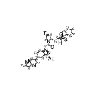 CC(=O)c1nn(CC(=O)N2C[C@H](F)C[C@H]2CCNS(=O)(=O)c2ccccc2)c2ccc(-c3cnc4cc(C)nn4c3)cc12